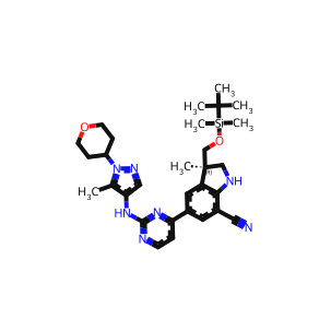 Cc1c(Nc2nccc(-c3cc(C#N)c4c(c3)[C@@](C)(CO[Si](C)(C)C(C)(C)C)CN4)n2)cnn1C1CCOCC1